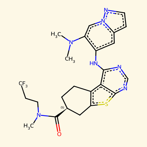 CN(CCC(F)(F)F)C(=O)[C@H]1CCc2c(sc3ncnc(Nc4cc5ccnn5cc4N(C)C)c23)C1